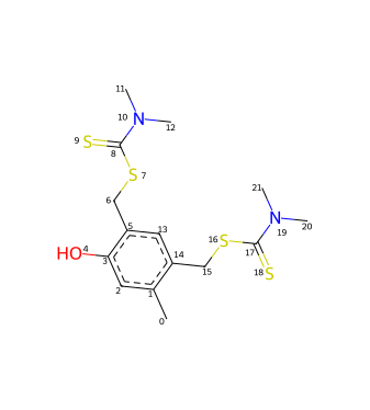 Cc1cc(O)c(CSC(=S)N(C)C)cc1CSC(=S)N(C)C